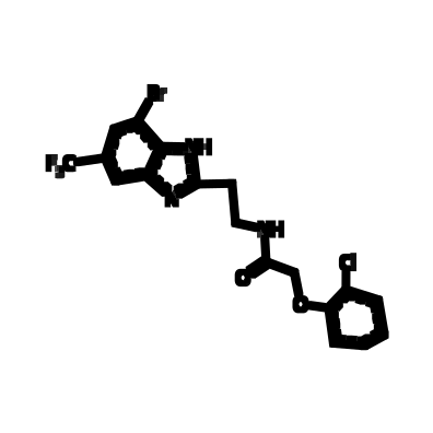 O=C(COc1ccccc1Cl)NCCc1nc2cc(C(F)(F)F)cc(Br)c2[nH]1